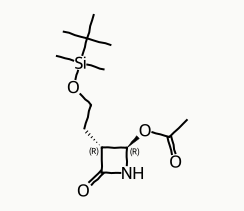 CC(=O)O[C@H]1NC(=O)[C@@H]1CCO[Si](C)(C)C(C)(C)C